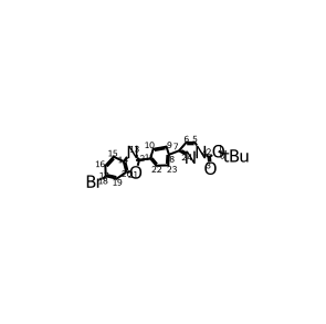 CC(C)(C)OC(=O)n1ccc(-c2ccc(-c3nc4ccc(Br)cc4o3)cc2)n1